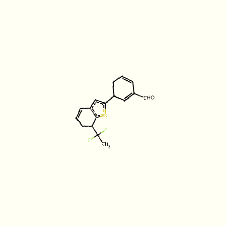 CC(F)(F)C1CC=Cc2cc(C3C=C(C=O)C=CC3)sc21